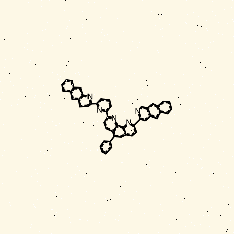 c1ccc(-c2cc3ccc(-c4cc5cc6ccccc6cc5cn4)nc3c3nc(-c4cccc(-c5ccc6cc7ccccc7cc6n5)n4)ccc23)cc1